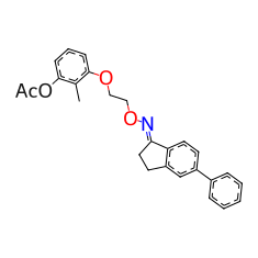 CC(=O)Oc1cccc(OCCON=C2CCc3cc(-c4ccccc4)ccc32)c1C